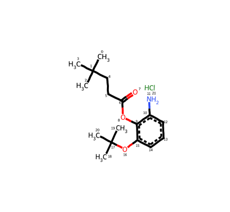 CC(C)(C)CCC(=O)Oc1c(N)cccc1OC(C)(C)C.Cl